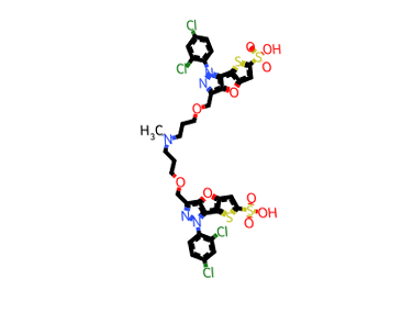 CN(CCCOCc1nn(-c2ccc(Cl)cc2Cl)c2c1oc1cc(S(=O)(=O)O)sc12)CCCOCc1nn(-c2ccc(Cl)cc2Cl)c2c1oc1cc(S(=O)(=O)O)sc12